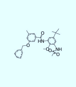 COc1c(NC(=O)c2cc(C)cc(OCc3ccccc3)c2)cc(C(C)(C)C)cc1NS(C)(=O)=O